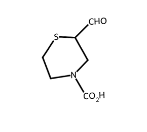 O=CC1CN(C(=O)O)CCS1